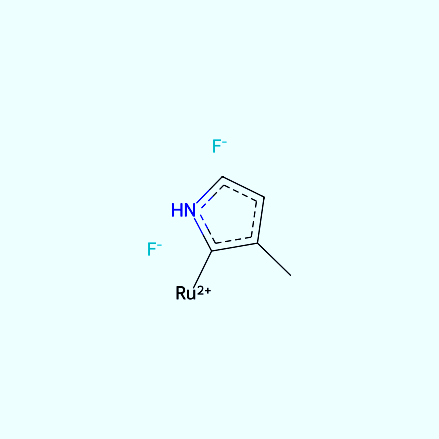 Cc1cc[nH][c]1[Ru+2].[F-].[F-]